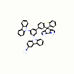 N#Cc1ccc2c(c1)c1ccccc1n2-c1cc(-c2ccc3c(c2)C2(c4ccccc4S3)c3cccnc3-c3ncccc32)cc(-n2c3ccccc3c3ccccc32)c1